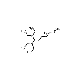 C=C[SiH2]CCOC(N(CC)CC)N(CC)CC